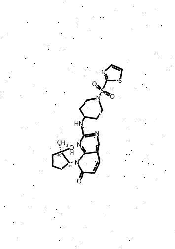 C[C@@]1(O)CCC[C@H]1n1c(=O)ccc2cnc(NC3CCN(S(=O)(=O)c4nccs4)CC3)nc21